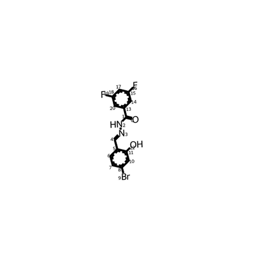 O=C(NN=Cc1ccc(Br)cc1O)c1cc(F)cc(F)c1